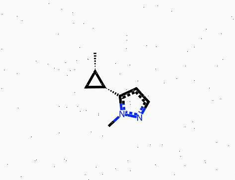 C[C@H]1C[C@H]1c1ccnn1C